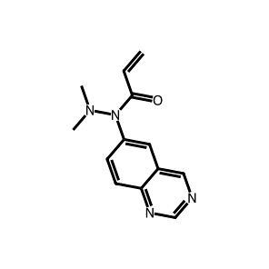 C=CC(=O)N(c1ccc2ncncc2c1)N(C)C